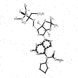 CCOC(=O)CC(C)(OC[C@H]1O[C@@H](n2ncc3c(N(C(=O)OC(C)(C)C)C4CCCC4)nc(Cl)nc32)[C@@H]2OC(C)(C)O[C@@H]21)P(=O)(OCC)OCC